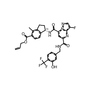 C=CCOC(=O)c1ccc2c(c1C)CC[C@@H]2NC(=O)c1cc(C(=O)NCc2ccc(C(F)(F)F)c(O)c2)nc2c(F)cnn12